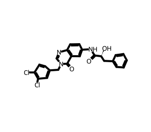 O=C(Nc1ccc2ncn(Cc3ccc(Cl)c(Cl)c3)c(=O)c2c1)[C@H](O)Cc1ccccc1